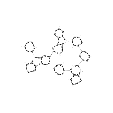 c1ccc(-c2nc(-c3cccc(-c4cccc(-n5c6ccccc6c6cc(-c7ccc8c9ccccc9n(-c9ccccc9)c8c7)ccc65)c4)c3)nc3ccccc23)cc1